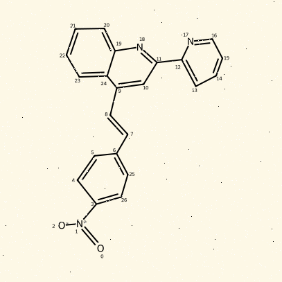 O=[N+]([O-])c1ccc(C=Cc2cc(-c3ccccn3)nc3ccccc23)cc1